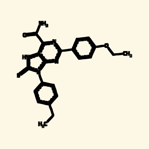 CCOc1ccc(-c2nc(C(N)=O)c3[nH]c(=S)n(-c4ccc(CC)cc4)c3n2)cc1